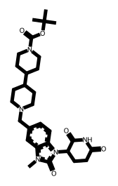 Cn1c(=O)n(C2CCC(=O)NC2=O)c2ccc(CN3CCC(C4CCN(C(=O)OC(C)(C)C)CC4)CC3)cc21